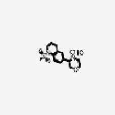 CS(=O)(=O)N1CCCc2cc(C3COCCN3C=O)ccc21